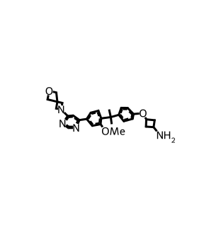 COc1cc(-c2cc(N3CC4(COC4)C3)ncn2)ccc1C(C)(C)c1ccc(OC2CC(N)C2)cc1